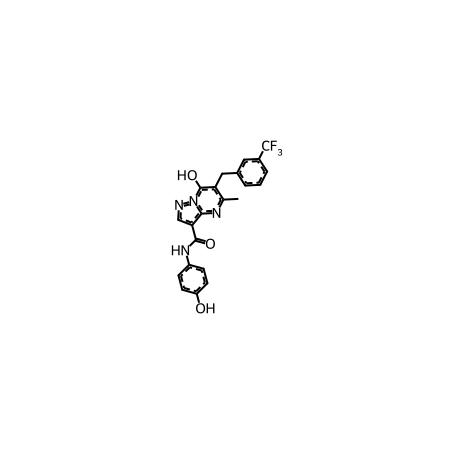 Cc1nc2c(C(=O)Nc3ccc(O)cc3)cnn2c(O)c1Cc1cccc(C(F)(F)F)c1